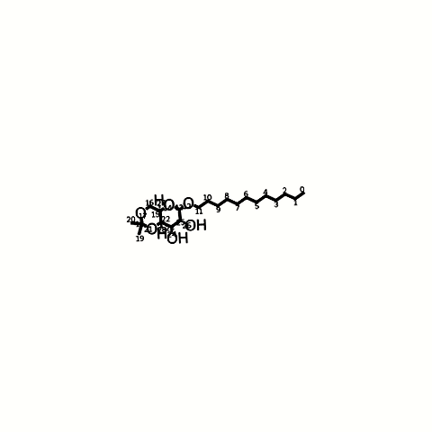 CCCCCCCCCCCCO[C@@H]1O[C@@H]2COC(C)(C)O[C@H]2[C@H](O)[C@H]1O